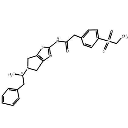 CCS(=O)(=O)c1ccc(CC(=O)Nc2nc3c(s2)CN([C@H](C)Cc2ccccc2)C3)cc1